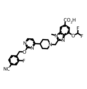 Cn1c(CN2CCC(c3ccnc(OCc4ccc(C#N)cc4F)n3)CC2)nc2c(OC(F)F)cc(C(=O)O)cc21